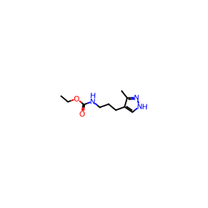 CCOC(=O)NCCCc1c[nH]nc1C